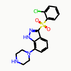 O=S(=O)(c1ccccc1Cl)c1n[nH]c2c(N3CCNCC3)cccc12